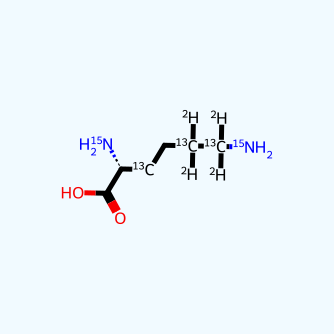 [2H][13C]([2H])([15NH2])[13C]([2H])([2H])C[13CH2][C@@H]([15NH2])C(=O)O